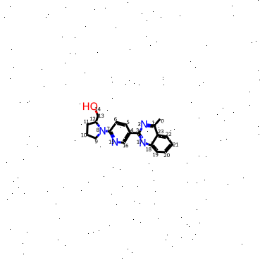 Cc1nc(-c2ccc(N3CCCC3CO)nc2)nc2ccccc12